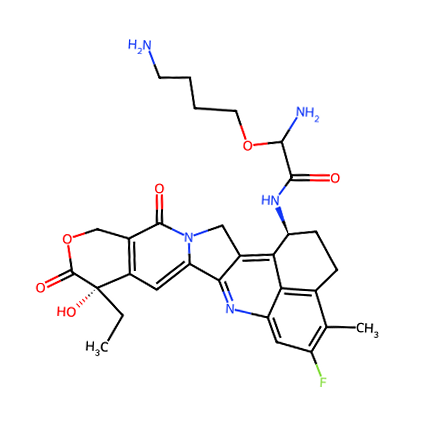 CC[C@@]1(O)C(=O)OCc2c1cc1n(c2=O)Cc2c-1nc1cc(F)c(C)c3c1c2[C@@H](NC(=O)C(N)OCCCCN)CC3